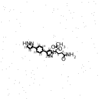 CS(=O)(=O)C(CCC(N)=O)n1cc(-c2ccc(-c3cc[nH]n3)cc2)cn1